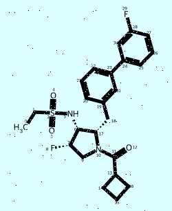 CCS(=O)(=O)N[C@H]1[C@@H](F)CN(C(=O)C2CCC2)[C@H]1Cc1cccc(-c2cccc(F)c2)c1